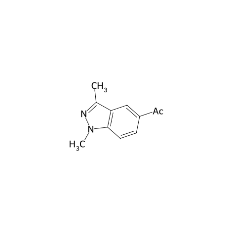 CC(=O)c1ccc2c(c1)c(C)nn2C